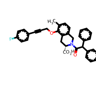 Cc1ccc2c(c1OCC#Cc1ccc(F)cc1)C[C@@H](C(=O)O)N(C(=O)C(c1ccccc1)c1ccccc1)C2